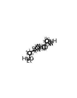 CCNC(=O)c1cccc(-c2cc3nc(N4CCOC(c5cccc6[nH]ncc56)C4)ncc3s2)c1